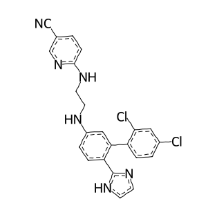 N#Cc1ccc(NCCNc2ccc(-c3ncc[nH]3)c(-c3ccc(Cl)cc3Cl)c2)nc1